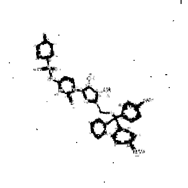 COc1ccc(C(OC[C@H]2O[C@@H](n3ccc(NS(=O)(=O)c4ccc(C)cc4)nc3=O)[C@H](O)[C@@H]2O)(c2ccccc2)c2ccc(OC)cc2)cc1